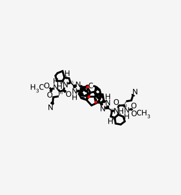 COC(=O)N[C@@H](CCC#N)C(=O)N1[C@H](c2nc3cc(-c4cc5ccc4CCc4ccc(c(-c6ccc7[nH]c([C@@H]8C[C@@H]9CCCC[C@@H]9N8C(=O)[C@H](CCC#N)NC(=O)OC)nc7c6)c4)CC5)ccc3[nH]2)C[C@@H]2CCCC[C@@H]21